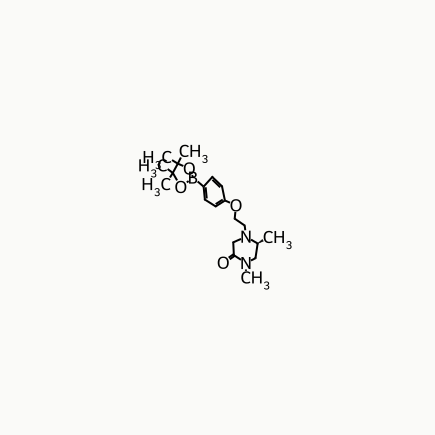 C[C@H]1CN(C)C(=O)CN1CCOc1ccc(B2OC(C)(C)C(C)(C)O2)cc1